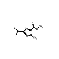 COC(=O)c1nc(C(F)F)nn1C